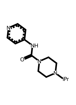 CC(C)N1CCN(C(=O)Nc2ccncc2)CC1